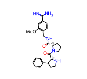 COc1cc(C(=N)N)ccc1CNC(=O)[C@@H]1CCCN1C(=O)[C@H]1NCCC1c1ccccc1